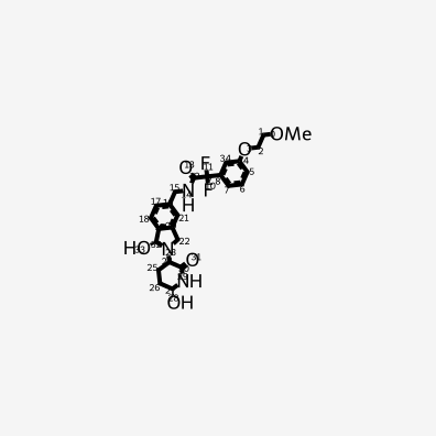 COCCOc1cccc(C(F)(F)C(=O)NCc2ccc3c(c2)CN(C2CC[C@@H](O)NC2=O)[C@H]3O)c1